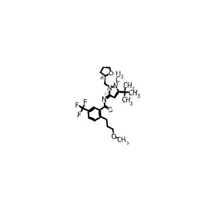 COCCCc1ccc(C(F)(F)F)cc1C(=O)/N=c1\cc(C(C)(C)C)n(C)n1C[C@H]1CCCO1